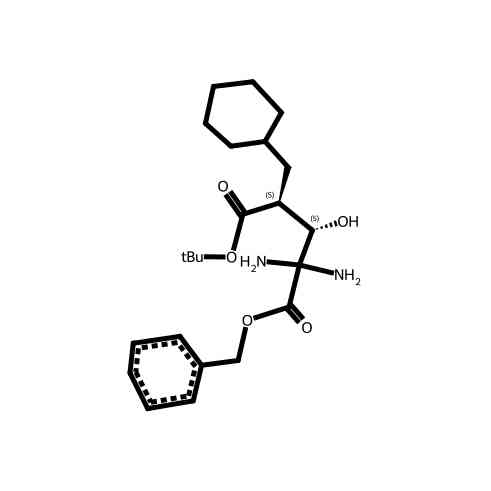 CC(C)(C)OC(=O)[C@@H](CC1CCCCC1)[C@H](O)C(N)(N)C(=O)OCc1ccccc1